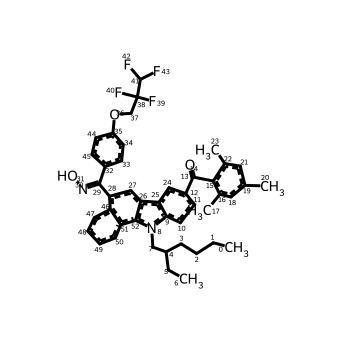 CCCCC(CC)Cn1c2ccc(C(=O)c3c(C)cc(C)cc3C)cc2c2cc(C(=NO)c3ccc(OCC(F)(F)C(F)F)cc3)c3ccccc3c21